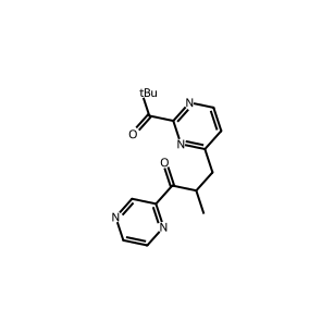 CC(Cc1ccnc(C(=O)C(C)(C)C)n1)C(=O)c1cnccn1